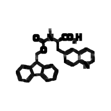 CN(C(=O)OCC1c2ccccc2-c2ccccc21)[C@H](Cc1ccc2ncccc2c1)C(=O)O